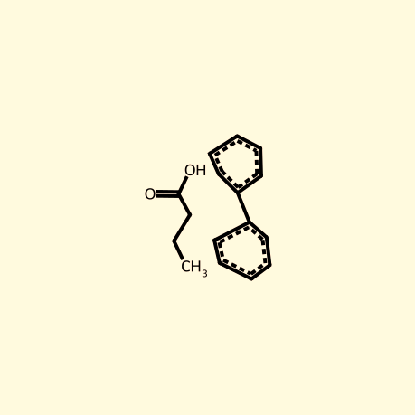 CCCC(=O)O.c1ccc(-c2ccccc2)cc1